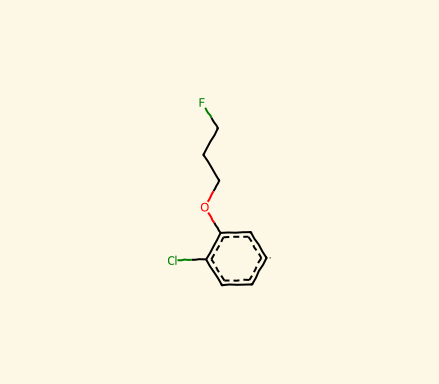 FCCCOc1c[c]ccc1Cl